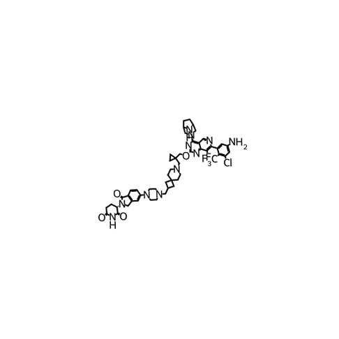 Nc1cc(Cl)c(C(F)(F)F)c(-c2ncc3c(N4CC5CCC(C4)N5)nc(OCC4(CN5CCC6(CC5)CC(CN5CCN(c7ccc8c(c7)CN([C@H]7CCC(=O)NC7=O)C8=O)CC5)C6)CC4)nc3c2F)c1